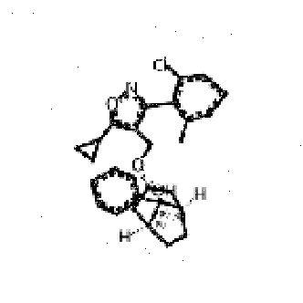 Cc1cccc(Cl)c1-c1noc(C2CC2)c1CO[C@@H]1C[C@H]2CC[C@@H](C1)[C@]2(O)c1ccccc1